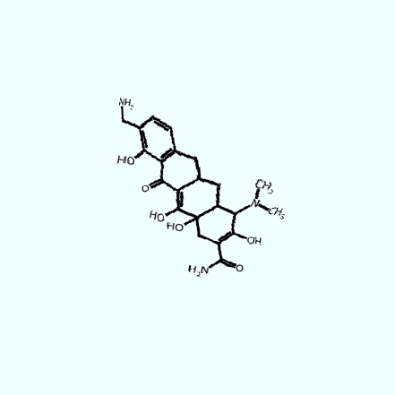 CN(C)C1C(O)=C(C(N)=O)CC2(O)C(O)=C3C(=O)c4c(ccc(CN)c4O)CC3CC12